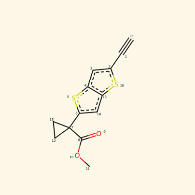 C#Cc1cc2sc(C3(C(=O)OC)CC3)cc2s1